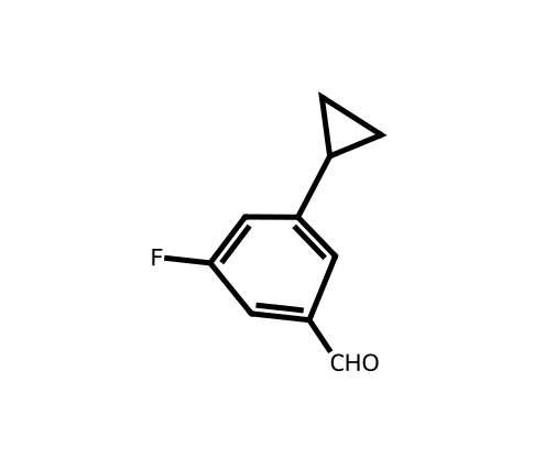 O=Cc1cc(F)cc(C2CC2)c1